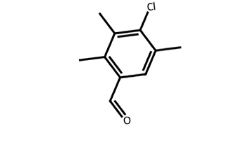 Cc1cc(C=O)c(C)c(C)c1Cl